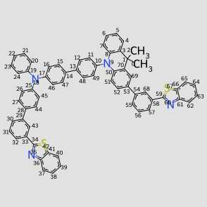 CC1(C)c2ccccc2N(c2ccc(-c3ccc(N(c4ccccc4)c4ccc(-c5cccc(-c6nc7ccccc7s6)c5)cc4)cc3)cc2)c2ccc(-c3cccc(-c4nc5ccccc5s4)c3)cc21